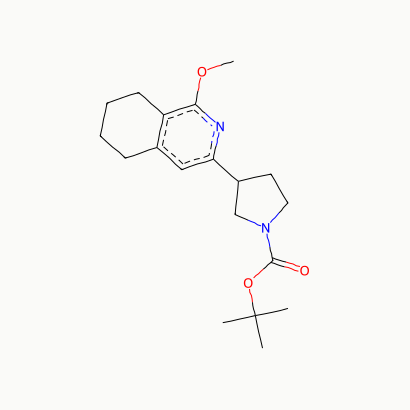 COc1nc(C2CCN(C(=O)OC(C)(C)C)C2)cc2c1CCCC2